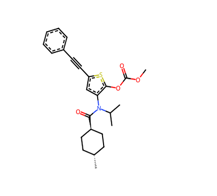 COC(=O)Oc1sc(C#Cc2ccccc2)cc1N(C(=O)[C@H]1CC[C@H](C)CC1)C(C)C